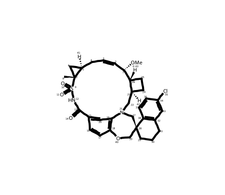 CO[C@H]1/C=C\C[C@@H]2C[C@@]2(C)S(=O)(=O)NC(=O)c2ccc3c(c2)N(C[C@@H]2CC[C@H]21)C[C@@]1(CCCc2cc(Cl)ccc21)CO3